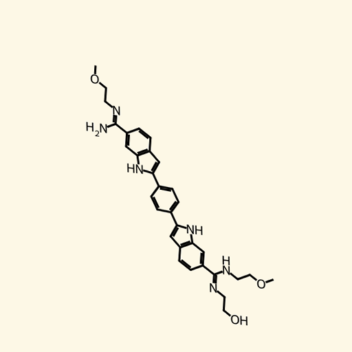 COCC/N=C(\N)c1ccc2cc(-c3ccc(-c4cc5ccc(/C(=N/CCO)NCCOC)cc5[nH]4)cc3)[nH]c2c1